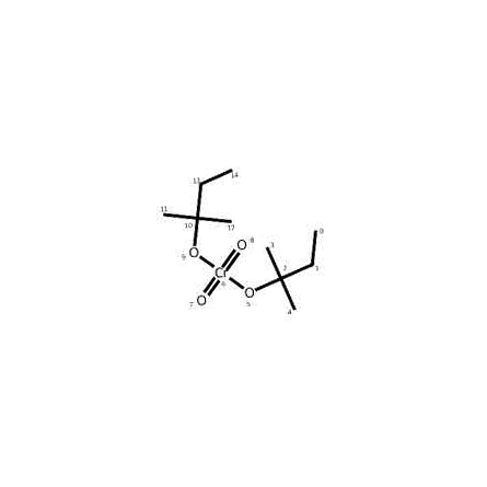 CCC(C)(C)[O][Cr](=[O])(=[O])[O]C(C)(C)CC